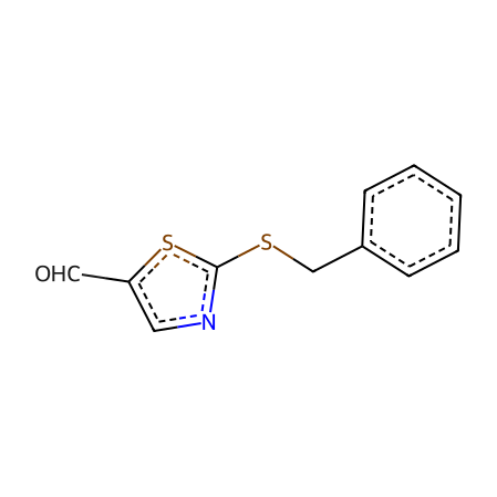 O=Cc1cnc(SCc2ccccc2)s1